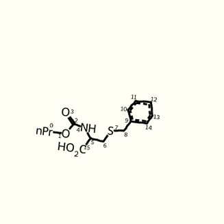 CCCOC(=O)NC(CSCc1ccccc1)C(=O)O